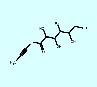 CC#COC(=O)C(O)C(O)C(O)C(O)CO